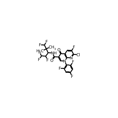 CC(C)(C(F)F)C(NC(=O)c1cn(-c2c(F)cc(F)cc2F)c2nc(Cl)c(F)cc2c1=O)C(F)C(F)F